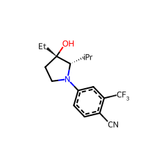 CC[C@]1(O)CCN(c2ccc(C#N)c(C(F)(F)F)c2)[C@H]1C(C)C